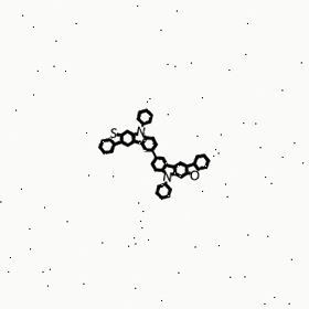 c1ccc(-n2c3ccc(-c4ccc5c(c4)c4cc6c(cc4n5-c4ccccc4)sc4ccccc46)cc3c3cc4c(cc32)oc2ccccc24)cc1